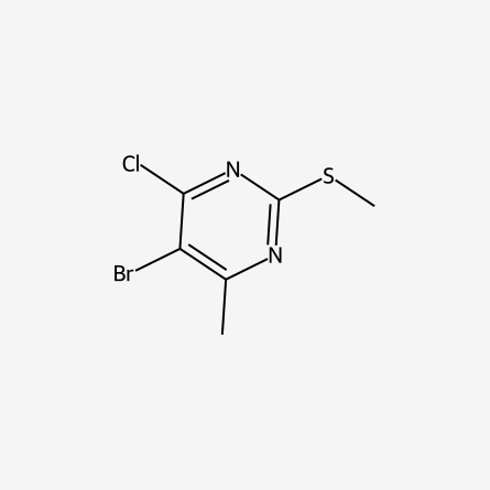 CSc1nc(C)c(Br)c(Cl)n1